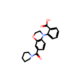 O=C(O)c1ccccc1N1CCOc2cc(C(=O)N3CCCCC3)ccc21